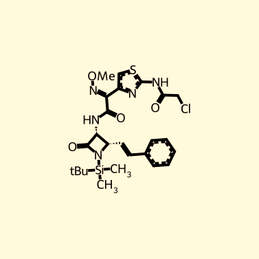 CON=C(C(=O)N[C@H]1C(=O)N([Si](C)(C)C(C)(C)C)[C@H]1C=Cc1ccccc1)c1csc(NC(=O)CCl)n1